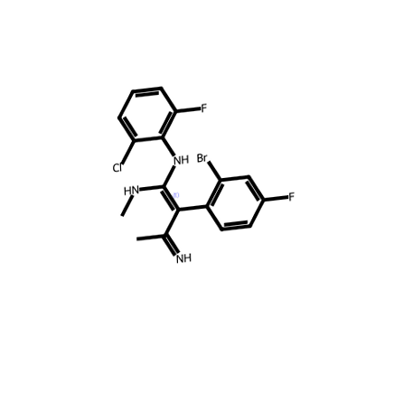 CN/C(Nc1c(F)cccc1Cl)=C(\C(C)=N)c1ccc(F)cc1Br